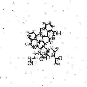 C=CC(=O)N1C[C@@H]2C(=O)N(CCCO)c3c(c4cc(F)c(-c5c(O)cccc5F)c(F)c4n(-c4c(C)ccnc4C(C)C)c3=O)N2C[C@H]1C